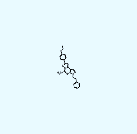 CCOc1ccc(-c2nc3c4cnn(CCc5ccccc5)c4nc(N)n3n2)cc1